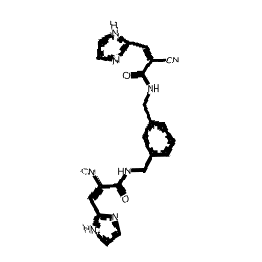 [C-]#[N+]/C(=C/c1ncc[nH]1)C(=O)NCc1cccc(CNC(=O)/C(C#N)=C\c2ncc[nH]2)c1